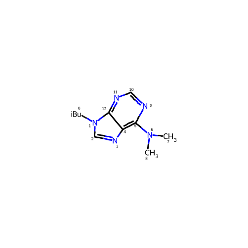 CCC(C)n1cnc2c(N(C)C)ncnc21